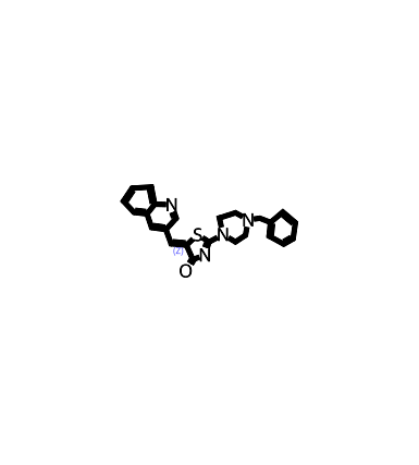 O=C1N=C(N2CCN(Cc3ccccc3)CC2)S/C1=C\c1cnc2ccccc2c1